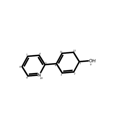 OC1C=CC(c2ccccn2)=CC1